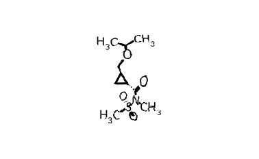 CC(C)OC[C@@H]1C[C@H]1C(=O)N(C)S(C)(=O)=O